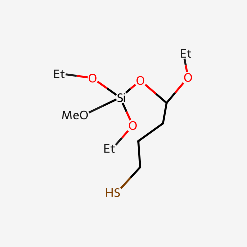 CCOC(CCCS)O[Si](OC)(OCC)OCC